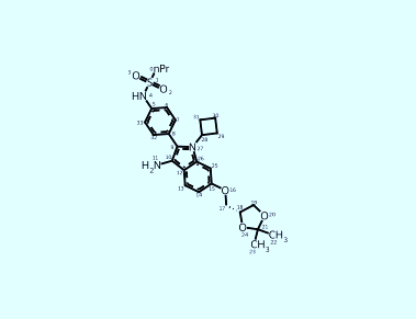 CCCS(=O)(=O)Nc1ccc(-c2c(N)c3ccc(OC[C@@H]4COC(C)(C)O4)cc3n2C2CCC2)cc1